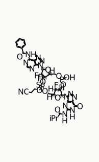 CC(C)C(=O)Nc1nc2c(nnn2[C@@H]2O[C@@H]3COP(=S)(OCCC#N)O[C@H]4[C@H](F)[C@H](n5nnc6c(NC(=O)c7ccccc7)ncnc65)O[C@@H]4COP(O)O[C@H]2[C@@H]3F)c(=O)[nH]1